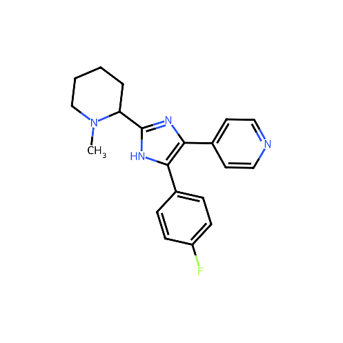 CN1CCCCC1c1nc(-c2ccncc2)c(-c2ccc(F)cc2)[nH]1